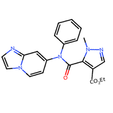 CCOC(=O)c1cnn(C)c1C(=O)N(c1ccccc1)c1ccn2ccnc2c1